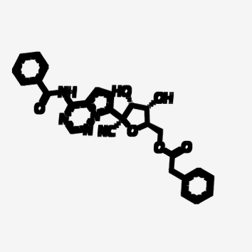 N#C[C@@]1(c2ccc3c(NC(=O)c4ccccc4)ncnn23)O[C@H](COC(=O)Cc2ccccc2)[C@@H](O)[C@H]1O